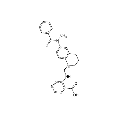 CN(C(=O)c1ccccc1)c1ccc2c(c1)CCC[C@H]2CNc1cnccc1C(=O)O